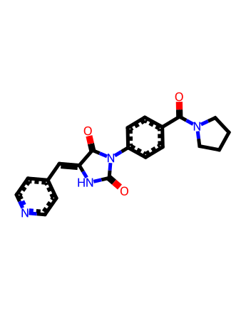 O=C(c1ccc(N2C(=O)N/C(=C\c3ccncc3)C2=O)cc1)N1CCCC1